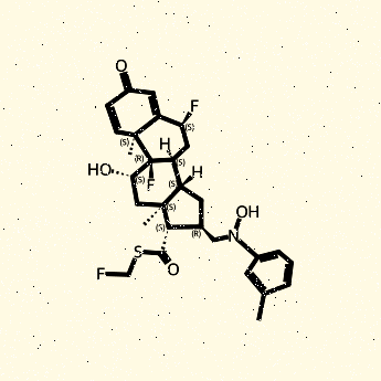 Cc1cccc(N(O)C[C@@H]2C[C@H]3[C@@H]4C[C@H](F)C5=CC(=O)C=C[C@]5(C)[C@@]4(F)[C@@H](O)C[C@]3(C)[C@H]2C(=O)SCF)c1